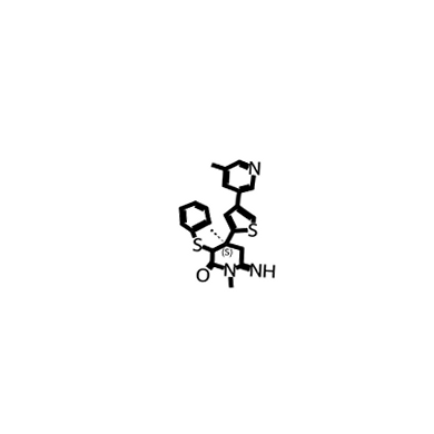 Cc1cncc(-c2csc([C@@]3(C)CC(=N)N(C)C(=O)C3Sc3ccccc3)c2)c1